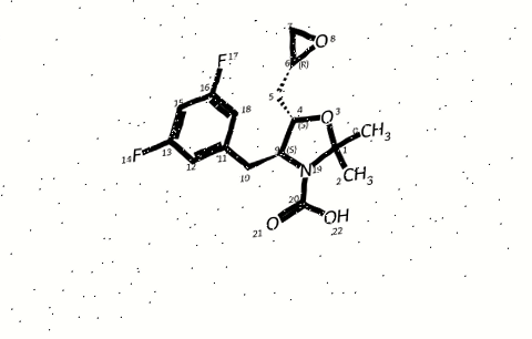 CC1(C)O[C@@H](C[C@@H]2CO2)[C@H](Cc2cc(F)cc(F)c2)N1C(=O)O